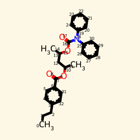 CCCc1ccc(C(=O)OC(C)CC(C)OC(=O)N(c2ccccc2)c2ccccc2)cc1